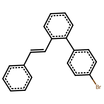 Brc1ccc(-c2ccccc2C=Cc2ccccc2)cc1